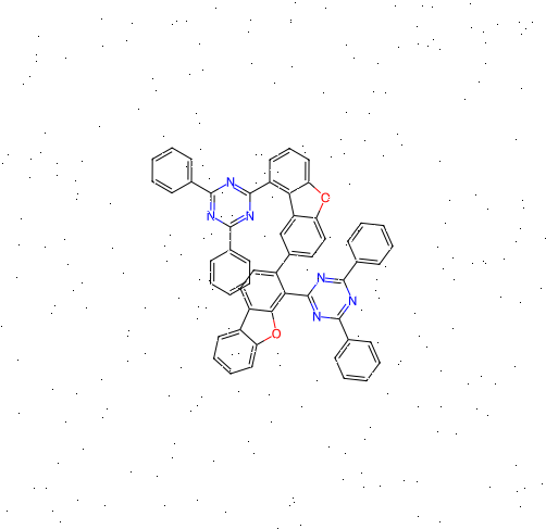 c1ccc(-c2nc(-c3ccccc3)nc(-c3c(-c4ccc5oc6cccc(-c7nc(-c8ccccc8)nc(-c8ccccc8)n7)c6c5c4)ccc4c3oc3ccccc34)n2)cc1